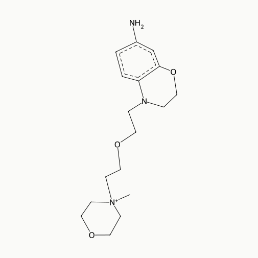 C[N+]1(CCOCCN2CCOc3cc(N)ccc32)CCOCC1